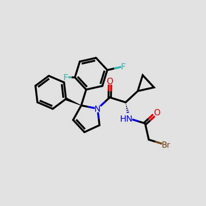 O=C(CBr)N[C@H](C(=O)N1CC=C[C@]1(c1ccccc1)c1cc(F)ccc1F)C1CC1